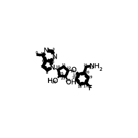 Cc1ncnc2c1ccn2[C@@H]1C[C@H](Oc2ccc(F)cc2CN)[C@@H](O)[C@H]1O